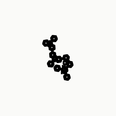 c1ccc(-c2cc(-c3cccc4c3oc3c(-c5ccc6c(c5)c5cc(-c7ccc8c(c7)c7ccccc7n8-c7ccccc7)ccc5n6-c5ccccc5)cccc34)nc(-c3ccccc3)n2)cc1